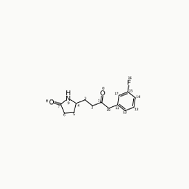 O=C(CCC1CCC(=O)N1)Cc1cccc(F)c1